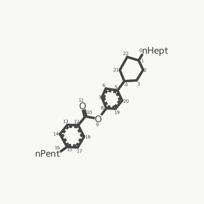 CCCCCCCC1CCC(c2ccc(OC(=O)c3ccc(CCCCC)cc3)cc2)CC1